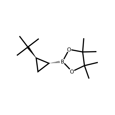 CC(C)(C)[C@@H]1C[C@H]1B1OC(C)(C)C(C)(C)O1